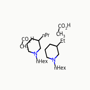 CC(=O)O.CC(=O)O.CCCCCCN1CCCC(CC)C1.CCCCCCN1CCCC(CCC)C1